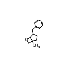 CC12CCC(Cc3ccccc3)C1OC2